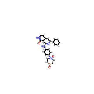 O=c1[nH]ccc2cc(-c3ccccc3)nc(Nc3ccc([N+]4([O-])CC[S+]([O-])CC4)cc3)c12